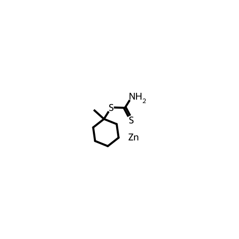 CC1(SC(N)=S)CCCCC1.[Zn]